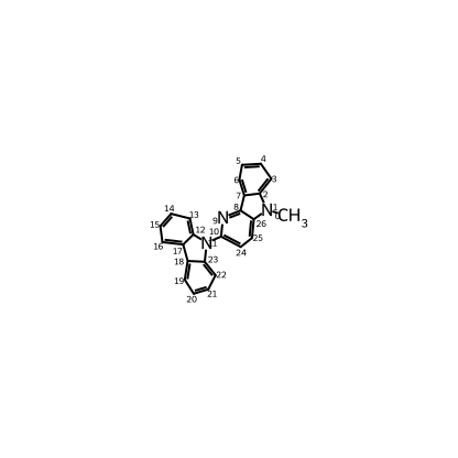 Cn1c2ccccc2c2nc(-n3c4ccccc4c4ccccc43)ccc21